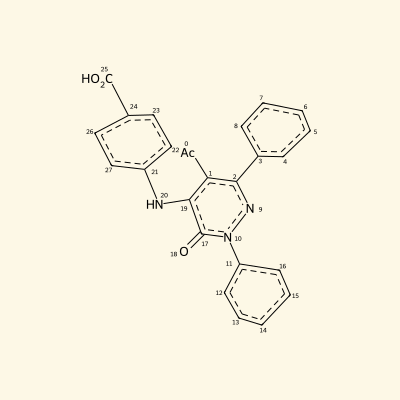 CC(=O)c1c(-c2ccccc2)nn(-c2ccccc2)c(=O)c1Nc1ccc(C(=O)O)cc1